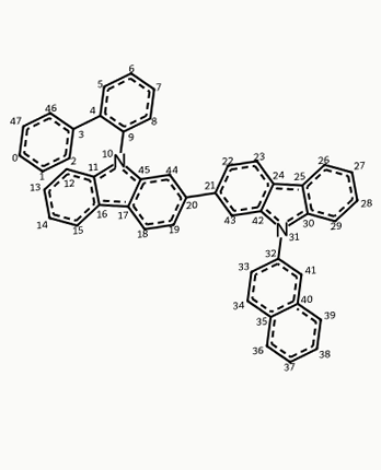 c1ccc(-c2ccccc2-n2c3ccccc3c3ccc(-c4ccc5c6ccccc6n(-c6ccc7ccccc7c6)c5c4)cc32)cc1